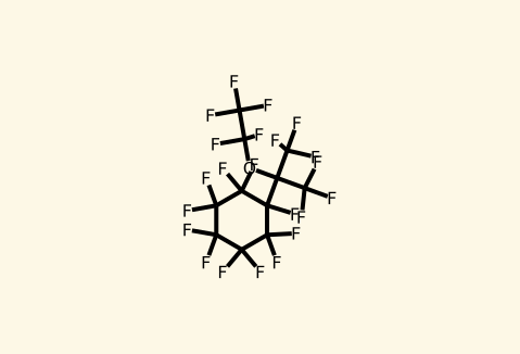 FC(F)(F)C(F)(F)OC(C(F)(F)F)(C(F)(F)F)C1(F)C(F)(F)C(F)(F)C(F)(F)C(F)(F)C1(F)F